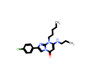 CCCCCn1c(NCCC)cc(=O)n2cc(-c3ccc(Cl)cc3)nc12